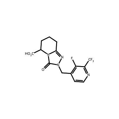 O=C(O)C1CCCc2nn(Cc3ccnc(C(F)(F)F)c3F)c(=O)n21